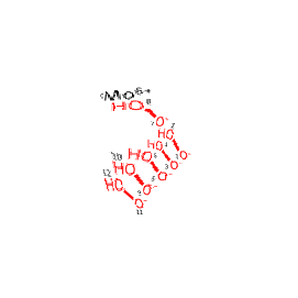 [Mo+6].[O-]O.[O-]O.[O-]O.[O-]O.[O-]O.[O-]O